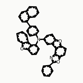 c1ccc(-c2nc3c(ccc4oc5ccc(N(c6ccc(-c7cccc8ccccc78)cc6)c6cccc7oc8ccccc8c67)cc5c43)o2)cc1